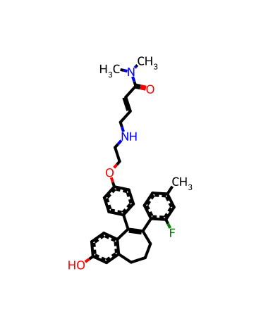 Cc1ccc(C2=C(c3ccc(OCCNC/C=C/C(=O)N(C)C)cc3)c3ccc(O)cc3CCC2)c(F)c1